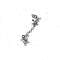 O=C1CCC(N2C(=O)c3cccc(NCCOCCOCCOC[C@H]4C[C@H](NC(=O)c5cnc(Nc6ccc7cnccc7n6)cc5NC5CC5)C4)c3C2=O)C(=O)N1